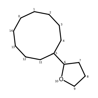 C1CCCC[C](C2CCCO2)CCCC1